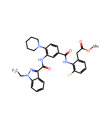 CC(C)(C)OC(=O)Cc1cccc(F)c1NC(=O)c1ccc(N2CCCCC2)c(NC(=O)c2nn(CC(F)(F)F)c3ccccc23)c1